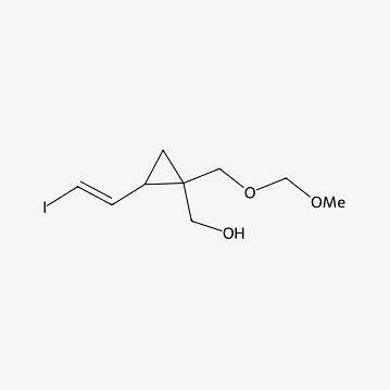 COCOCC1(CO)CC1C=CI